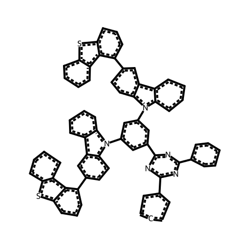 c1ccc(-c2nc(-c3ccccc3)nc(-c3cc(-n4c5ccccc5c5cc(-c6cccc7sc8ccccc8c67)ccc54)cc(-n4c5ccccc5c5cc(-c6cccc7sc8ccccc8c67)ccc54)c3)n2)cc1